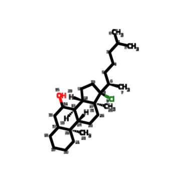 CC(C)CCC[C@@H](C)[C@@]1(Cl)CC[C@H]2[C@@H]3C(O)CC4CCCC[C@]4(C)[C@H]3CC[C@@]21C